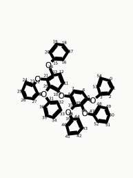 c1ccc(Oc2ccc(Oc3ccc(Oc4ccccc4)c(Oc4ccccc4)c3Oc3ccccc3)c(Oc3ccccc3)c2Oc2ccccc2)cc1